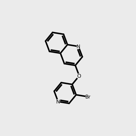 Brc1cnccc1Oc1cnc2ccccc2c1